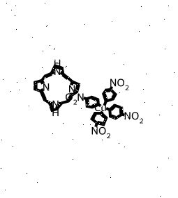 C1=Cc2cc3ccc(cc4nc(cc5ccc(cc1n2)[nH]5)C=C4)[nH]3.O=[N+]([O-])c1cc[c]([Cu]([c]2ccc([N+](=O)[O-])cc2)([c]2ccc([N+](=O)[O-])cc2)[c]2ccc([N+](=O)[O-])cc2)cc1